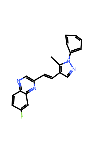 Cc1c(C=Cc2cnc3ccc(F)cc3n2)cnn1-c1ccccc1